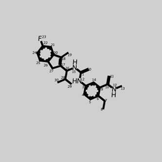 C=C(Nc1ccc(CC)c(C(=C)NC)c1)NC(C1=C(C)c2cc(F)ccc2C1)C(C)C